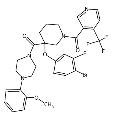 COc1ccccc1N1CCN(C(=O)C2(Oc3ccc(Br)c(F)c3)CCCN(C(=O)c3cnccc3C(F)(F)F)C2)CC1